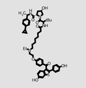 CCN(CCCCCCCC(=O)NC(C(=O)N1C[C@H](O)C[C@H]1C(=O)N[C@@H](C)c1ccc(C2CC2)cc1)C(C)(C)C)CCOc1ccc(C(=O)c2c(-c3ccc(O)cc3)sc3cc(O)ccc23)cc1